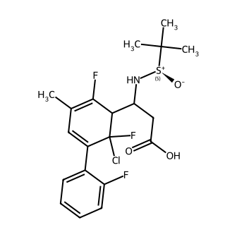 CC1=C(F)C(C(CC(=O)O)N[S@+]([O-])C(C)(C)C)C(F)(Cl)C(c2ccccc2F)=C1